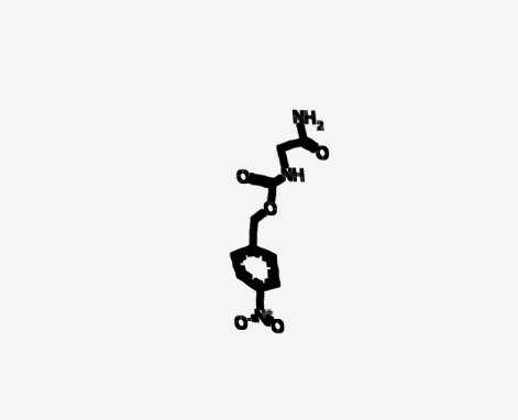 NC(=O)CNC(=O)OCc1ccc([N+](=O)[O-])cc1